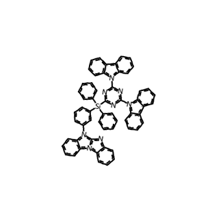 c1ccc([Si](c2ccccc2)(c2cccc(-n3c4ccccc4n4c5ccccc5nc34)c2)c2nc(-n3c4ccccc4c4ccccc43)nc(-n3c4ccccc4c4ccccc43)n2)cc1